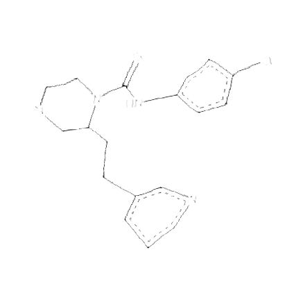 O=C(Nc1ccc(Cl)cc1)N1CCNCC1CCc1cccnc1